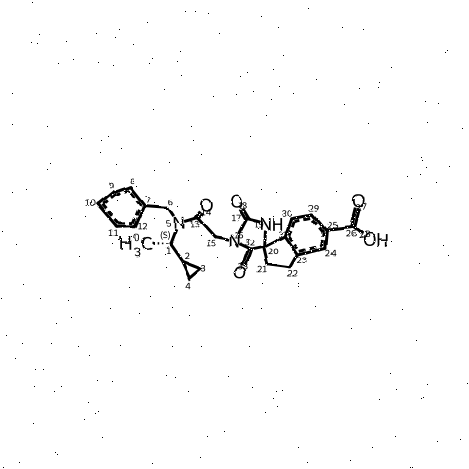 C[C@@H](C1CC1)N(Cc1ccccc1)C(=O)CN1C(=O)NC2(CCc3cc(C(=O)O)ccc32)C1=O